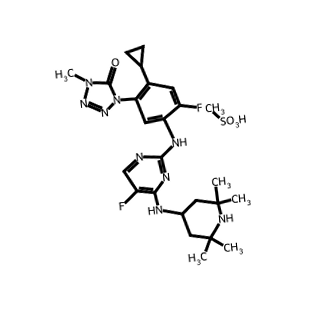 CS(=O)(=O)O.Cn1nnn(-c2cc(Nc3ncc(F)c(NC4CC(C)(C)NC(C)(C)C4)n3)c(F)cc2C2CC2)c1=O